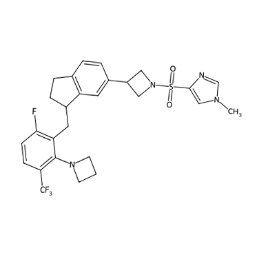 Cn1cnc(S(=O)(=O)N2CC(c3ccc4c(c3)C(Cc3c(F)ccc(C(F)(F)F)c3N3CCC3)CC4)C2)c1